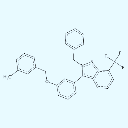 Cc1cccc(COc2cccc(-c3c4cccc(C(F)(F)F)c4nn3Cc3ccccc3)c2)c1